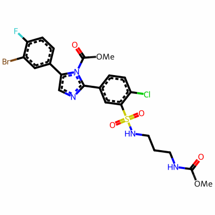 COC(=O)NCCCNS(=O)(=O)c1cc(-c2ncc(-c3ccc(F)c(Br)c3)n2C(=O)OC)ccc1Cl